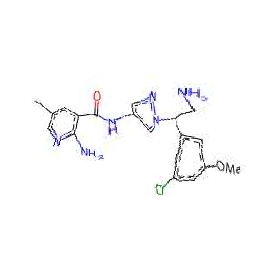 COc1cc(Cl)cc(C(CN)n2cc(NC(=O)c3cc(C)cnc3N)cn2)c1